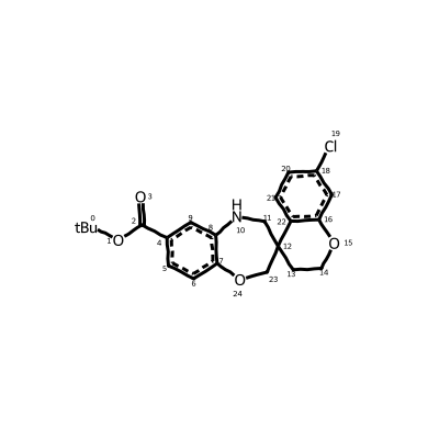 CC(C)(C)OC(=O)c1ccc2c(c1)NCC1(CCOc3cc(Cl)ccc31)CO2